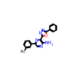 CC(=O)c1cccc(-c2cnc(N)c(-c3nnc(-c4ccccc4)o3)n2)c1